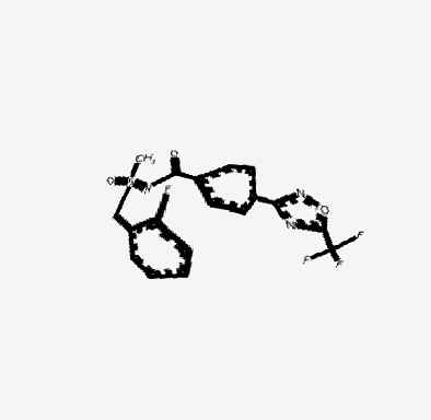 CS(=O)(Cc1ccccc1F)=NC(=O)c1ccc(-c2noc(C(F)(F)F)n2)cc1